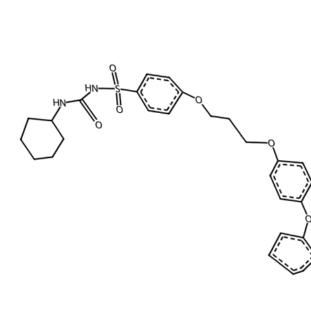 O=C(NC1CCCCC1)NS(=O)(=O)c1ccc(OCCCOc2ccc(Oc3ccccc3)cc2)cc1